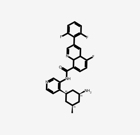 C[C@@H]1C[C@H](N)C[C@H](c2ccncc2NC(=O)C2=CC=C(F)C3C=C(c4c(F)cccc4F)C=NC23)C1